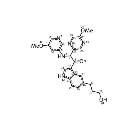 COc1cncc(NC(C(=O)c2c[nH]c3ccc(CCCO)cc23)c2cnc(OC)cn2)c1